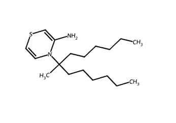 CCCCCCC(C)(CCCCCC)N1C=CSC=C1N